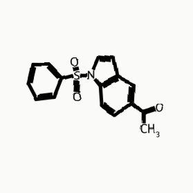 CC(=O)c1ccc2c(ccn2S(=O)(=O)c2ccccc2)c1